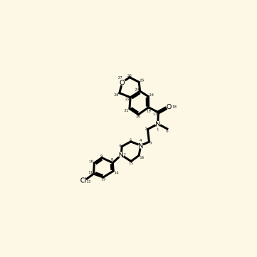 CN(CCN1CCN(c2ccc(Cl)cc2)CC1)C(=O)c1ccc2c(c1)CCOC2